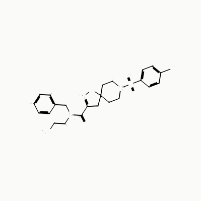 Cc1ccc(S(=O)(=O)N2CCC3(CC2)CC(C(=O)N(CCC#N)Cc2ccccc2)=NO3)cc1